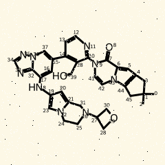 CC1(C)Cc2cc3c(=O)n(-c4nccc(-c5cc(Nc6cc7n(c6)CCN(C6COC6)C7)c6ncnn6c5)c4CO)ccn3c2C1